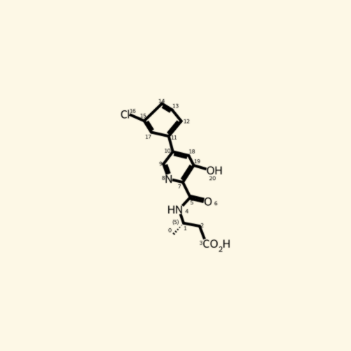 C[C@@H](CC(=O)O)NC(=O)c1ncc(-c2cccc(Cl)c2)cc1O